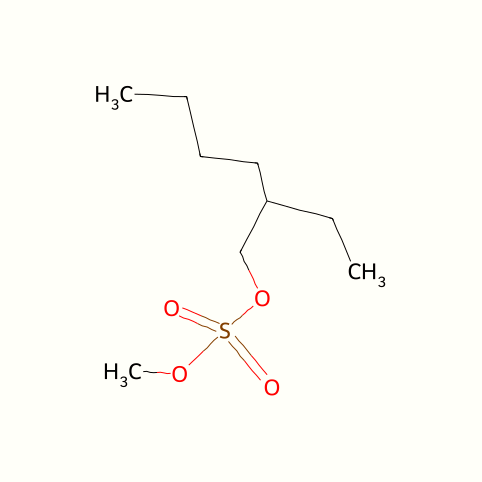 CCCCC(CC)COS(=O)(=O)OC